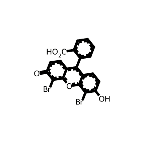 O=C(O)c1ccccc1-c1c2ccc(=O)c(Br)c-2oc2c(Br)c(O)ccc12